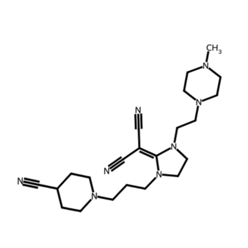 CN1CCN(CCN2CCN(CCCN3CCC(C#N)CC3)C2=C(C#N)C#N)CC1